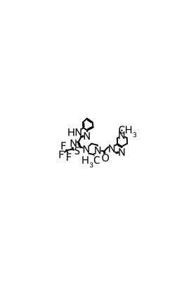 C[C@@H]1CN(c2sc(C(F)(F)F)nc2-c2nc3ccccc3[nH]2)CCN1C(=O)Cn1cnc2c1CN(C)CC2